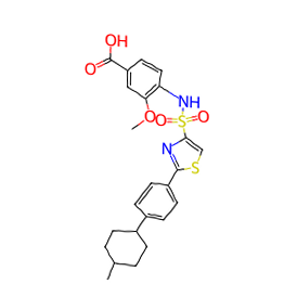 COc1cc(C(=O)O)ccc1NS(=O)(=O)c1csc(-c2ccc(C3CCC(C)CC3)cc2)n1